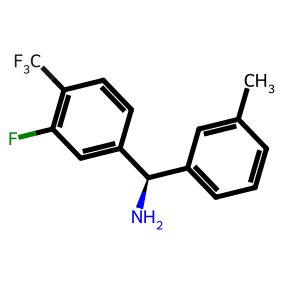 Cc1cccc([C@@H](N)c2ccc(C(F)(F)F)c(F)c2)c1